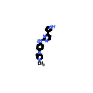 CN1CC2CC1CN2c1ccc(Nc2nccc(-c3cc[nH]c3)n2)cc1